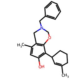 CC1=CC(c2c(O)cc(C)c3c2OCN(Cc2ccccc2)C3)CCC1